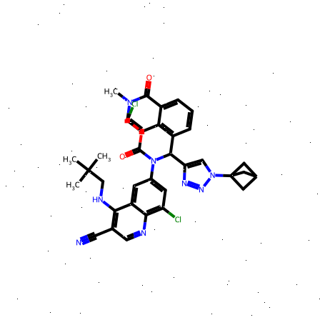 Cn1ccc2c(C(c3cn(C45CC(C4)C5)nn3)N(C(=O)OCCl)c3cc(Cl)c4ncc(C#N)c(NCC(C)(C)C)c4c3)cccc2c1=O